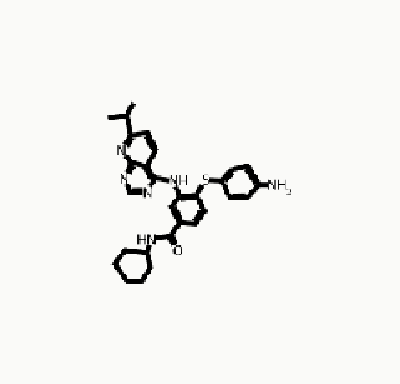 CC(C)c1ccc2c(Nc3cc(C(=O)NC4CCCCC4)ccc3Sc3ccc(N)cc3)ncnc2n1